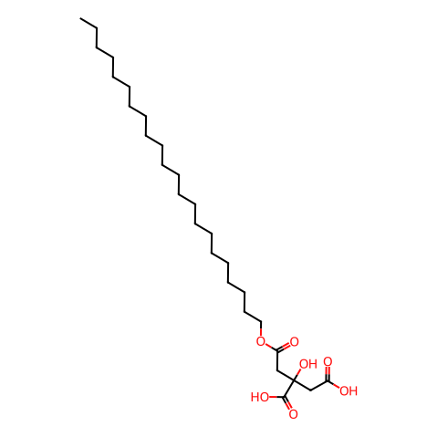 CCCCCCCCCCCCCCCCCCCCCCOC(=O)CC(O)(CC(=O)O)C(=O)O